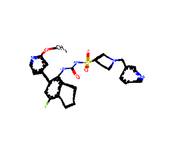 COc1cc(-c2cc(F)c3c(c2NC(=O)NS(=O)(=O)C2CN(Cc4cccnc4)C2)CCC3)ccn1